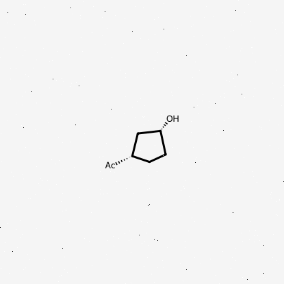 CC(=O)[C@H]1CC[C@@H](O)C1